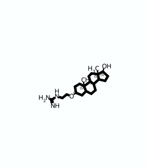 C[C@]12CC[C@H](OCCNC(=N)N)CC1CCC1C2CC[C@@]2(C)C1CC[C@@H]2O